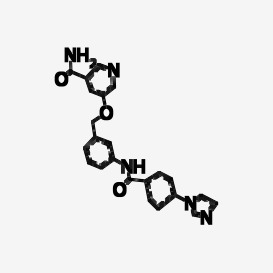 NC(=O)c1cncc(OCc2cccc(NC(=O)c3ccc(-n4ccnc4)cc3)c2)c1